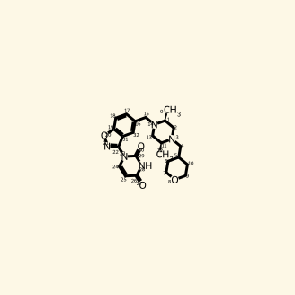 C[C@H]1CN(CC2CCOCC2)[C@@H](C)CN1Cc1ccc2onc(-n3ccc(=O)[nH]c3=O)c2c1